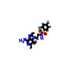 Cc1nc(N)c2nc(C)n(CCNS(=O)(=O)c3ccc(F)cc3F)c2c1C